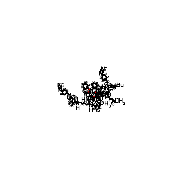 CN(C)CCCC[C@H](NC(=O)[C@H](CSSC(C)(C)C)NC(=O)OCc1ccc(N=[N+]=[N-])cc1)C(=O)N[C@@H](Cc1c[nH]c2ccccc12)C(=O)OCC(=O)N1CCC[C@H]1C(=O)N[C@@H](CCCCNC(=O)C1CSCN1C(=O)OCc1ccc(N=[N+]=[N-])cc1)C(=O)N[C@@H](CC(=O)SCc1ccccc1)C(=O)N1CCC[C@H]1C(N)=O